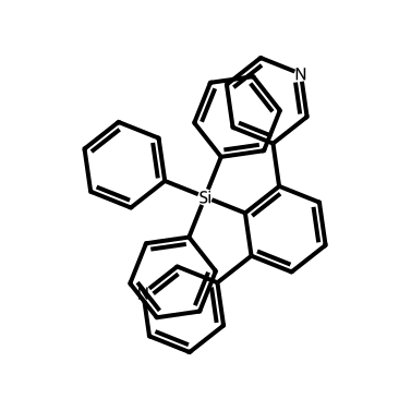 c1ccc([Si](c2ccccc2)(c2ccccc2)c2c(-c3cccnc3)cccc2-c2cccnc2)cc1